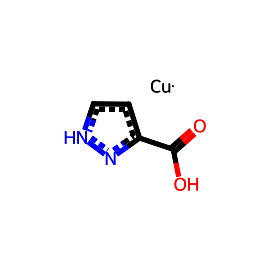 O=C(O)c1cc[nH]n1.[Cu]